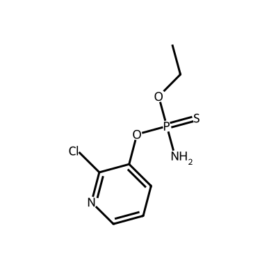 CCOP(N)(=S)Oc1cccnc1Cl